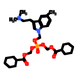 Cc1ccc2c(c1)c(CCN(C)C)cn2COP(=O)(OCOC(=O)C1CCCCC1)OCOC(=O)C1CCCCC1